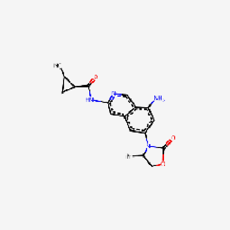 CC(C)C1COC(=O)N1c1cc(N)c2cnc(NC(=O)[C@H]3CC3C#N)cc2c1